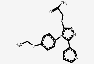 CCOc1ccc(-n2c(SCC(C)=O)nnc2-c2cccnc2)cc1